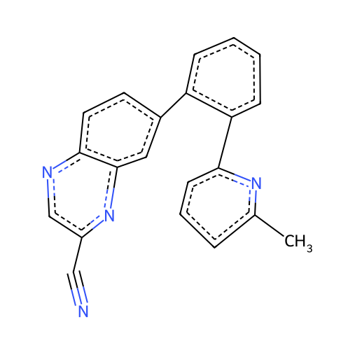 Cc1cccc(-c2ccccc2-c2ccc3ncc(C#N)nc3c2)n1